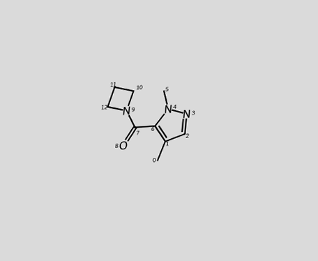 Cc1cnn(C)c1C(=O)N1CCC1